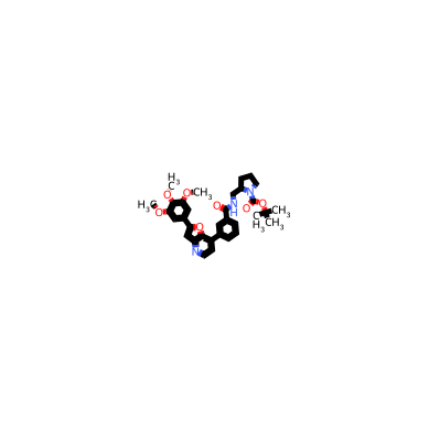 COc1cc(-c2cc3nccc(-c4cccc(C(=O)NCC5CCCN5C(=O)OC(C)(C)C)c4)c3o2)cc(OC)c1OC